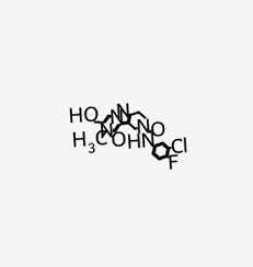 Cn1c(CO)cn2nc3c(c2c1=O)CN(C(=O)Nc1ccc(F)c(Cl)c1)CC3